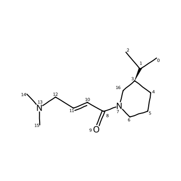 CC(C)[C@H]1CCCN(C(=O)/C=C/CN(C)C)C1